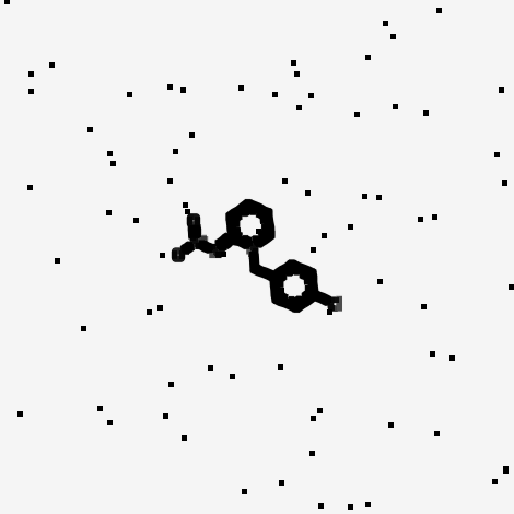 O=[N+]([O-])N=c1ccccn1Cc1ccc(Cl)cc1